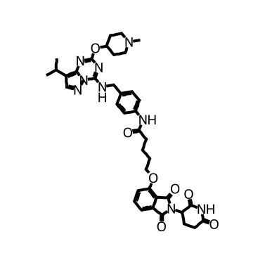 CC(C)c1cnn2c(NCc3ccc(NC(=O)CCCCOc4cccc5c4C(=O)N(C4CCC(=O)NC4=O)C5=O)cc3)nc(OC3CCN(C)CC3)nc12